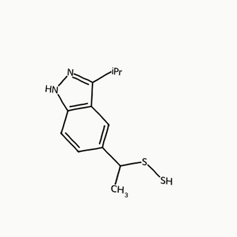 CC(C)c1n[nH]c2ccc(C(C)SS)cc12